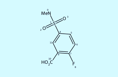 CNS(=O)(=O)c1ccc(F)c(C(=O)O)c1